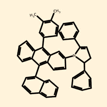 Cc1ccc(-c2c3ccccc3c(-c3cccc4ccccc34)c3ccc(N4C(c5ccccc5)=CCC4c4ccccc4)cc23)cc1C